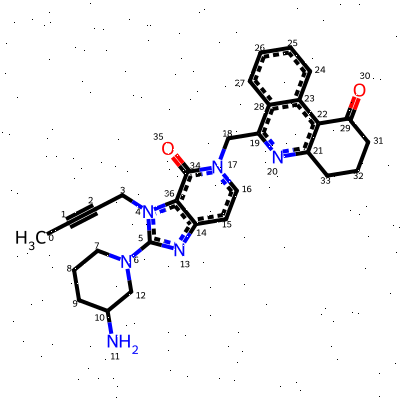 CC#CCn1c(N2CCCC(N)C2)nc2ccn(Cc3nc4c(c5ccccc35)C(=O)CCC4)c(=O)c21